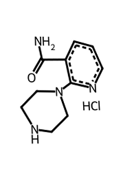 Cl.NC(=O)c1cccnc1N1CCNCC1